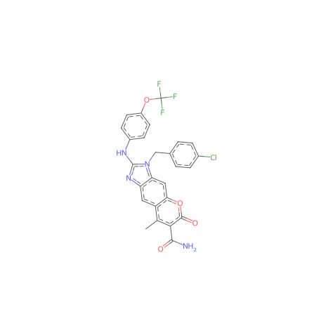 Cc1c(C(N)=O)c(=O)oc2cc3c(cc12)nc(Nc1ccc(OC(F)(F)F)cc1)n3Cc1ccc(Cl)cc1